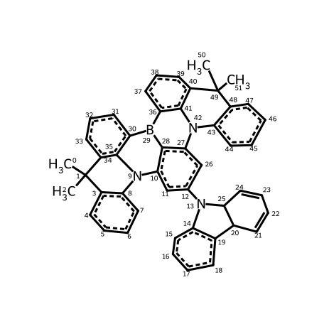 CC1(C)c2ccccc2N2c3cc(N4c5ccccc5C5C=CC=CC54)cc4c3B(c3cccc1c32)c1cccc2c1N4c1ccccc1C2(C)C